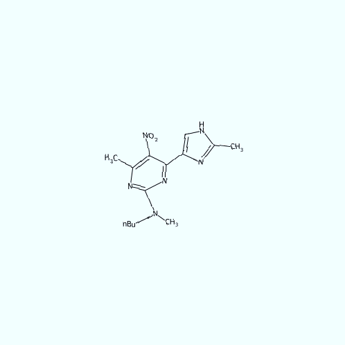 CCCCN(C)c1nc(C)c([N+](=O)[O-])c(-c2c[nH]c(C)n2)n1